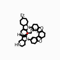 CCC1CCC2C3=C(CCNC3)N(C3=Cc4c(oc5c4-c4c(oc6c4C=C(N4C(CCN)=C(C)C7CNCCC74)CC6)CC5)CC3)C2CC1